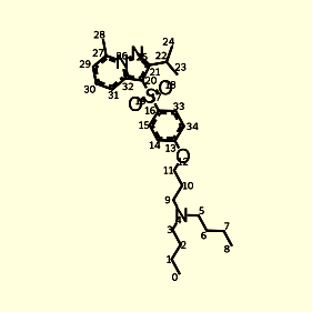 CCCCN(CCCC)CCCOc1ccc(S(=O)(=O)c2c(C(C)C)nn3c(C)cccc23)cc1